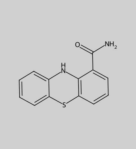 NC(=O)c1cccc2c1Nc1ccccc1S2